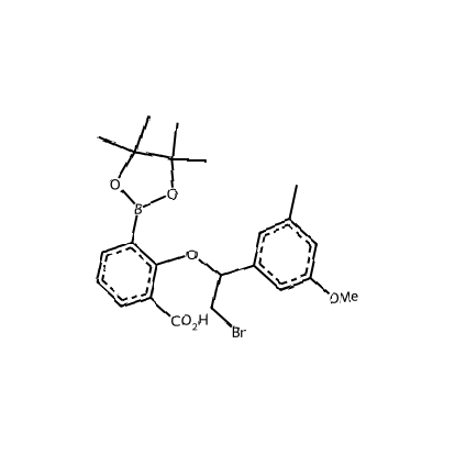 COc1cc(C)cc(C(CBr)Oc2c(B3OC(C)(C)C(C)(C)O3)cccc2C(=O)O)c1